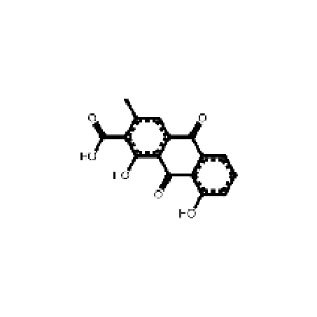 Cc1cc2c(c(O)c1C(=O)O)C(=O)c1c(O)cccc1C2=O